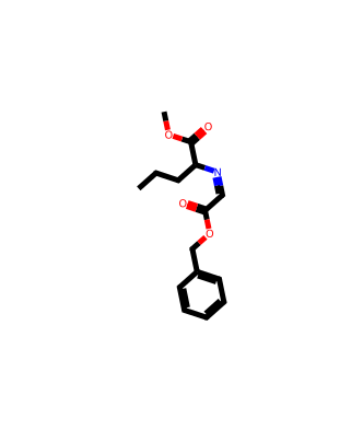 CCCC(/N=C\C(=O)OCc1ccccc1)C(=O)OC